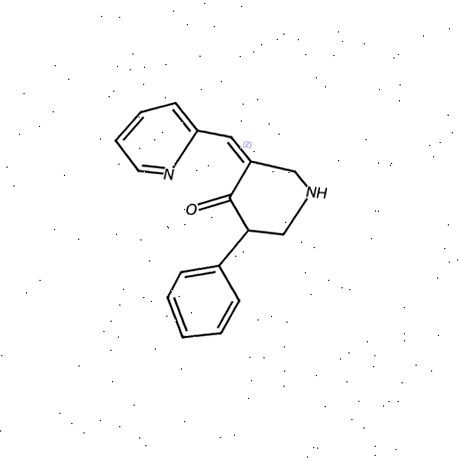 O=C1/C(=C\c2ccccn2)CNCC1c1ccccc1